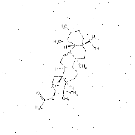 CC(=O)O[C@H]1CC[C@]2(C)[C@H]3CC=C4[C@@H]5[C@@H](C)[C@H](C)CC[C@]5(C(=O)O)CC[C@@]4(C)C3CC[C@H]2C1(C)C